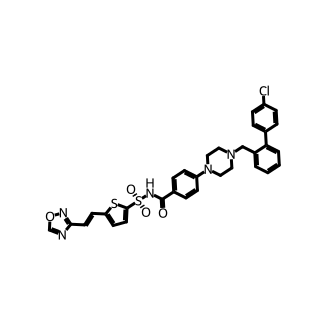 O=C(NS(=O)(=O)c1ccc(/C=C/c2ncon2)s1)c1ccc(N2CCN(Cc3ccccc3-c3ccc(Cl)cc3)CC2)cc1